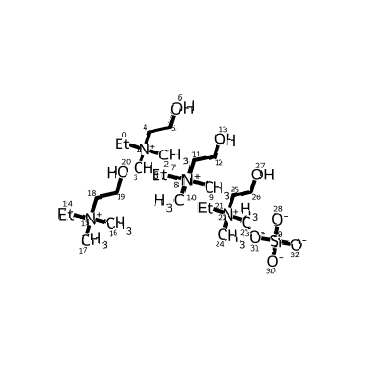 CC[N+](C)(C)CCO.CC[N+](C)(C)CCO.CC[N+](C)(C)CCO.CC[N+](C)(C)CCO.[O-][Si]([O-])([O-])[O-]